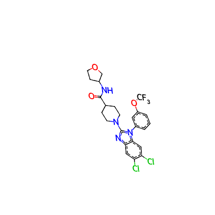 O=C(NC1CCOC1)C1CCN(c2nc3cc(Cl)c(Cl)cc3n2-c2cccc(OC(F)(F)F)c2)CC1